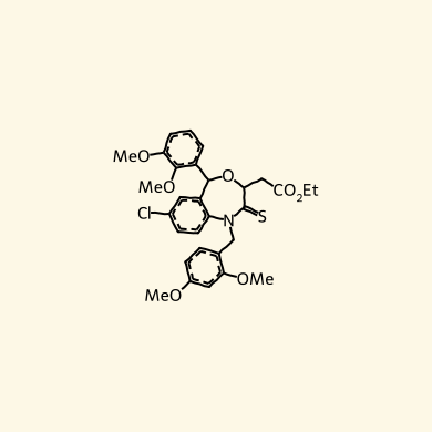 CCOC(=O)CC1OC(c2cccc(OC)c2OC)c2cc(Cl)ccc2N(Cc2ccc(OC)cc2OC)C1=S